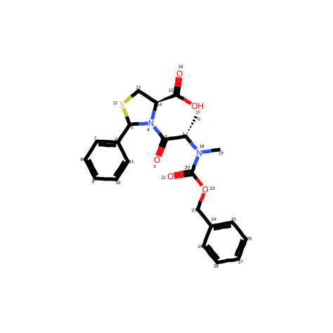 C[C@@H](C(=O)N1C(c2ccccc2)SC[C@H]1C(=O)O)N(C)C(=O)OCc1ccccc1